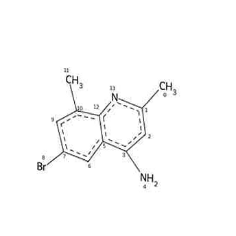 Cc1cc(N)c2cc(Br)cc(C)c2n1